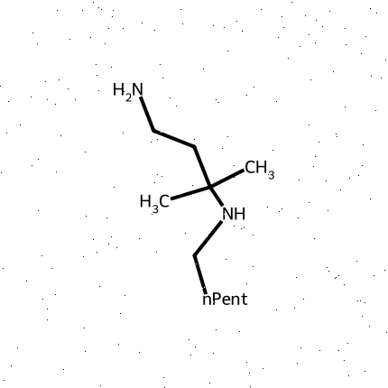 CCCCCCNC(C)(C)CCN